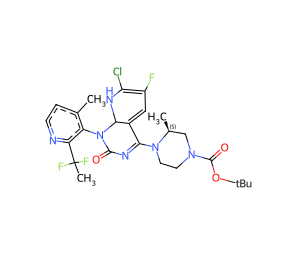 Cc1ccnc(C(C)(F)F)c1N1C(=O)N=C(N2CCN(C(=O)OC(C)(C)C)C[C@@H]2C)C2=CC(F)=C(Cl)NC21